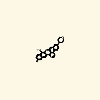 Cc1ccc2c(C(C)(C)C)c3c(cc2c1)-c1nccc2c1c(cc1cc(C4CCOCC4)ccc12)O3